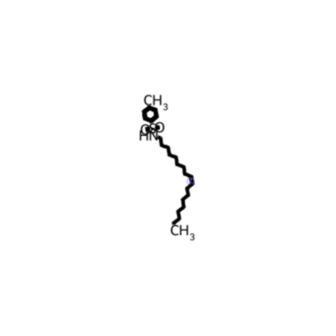 CCCCCCCC/C=C\CCCCCCCCNS(=O)(=O)c1ccc(C)cc1